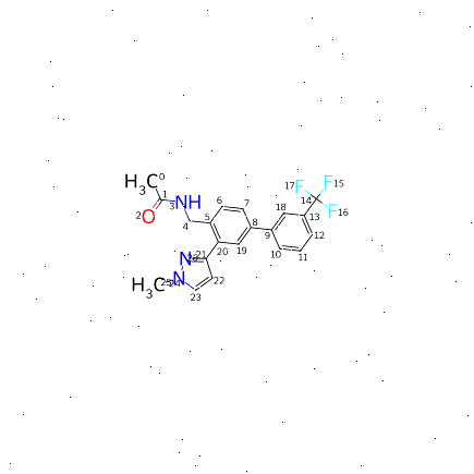 CC(=O)NCc1ccc(-c2cccc(C(F)(F)F)c2)cc1-c1ccn(C)n1